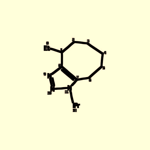 CCC1CCCCCc2c1nnn2C(C)C